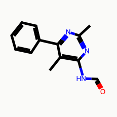 Cc1nc(NC=O)c(C)c(-c2ccccc2)n1